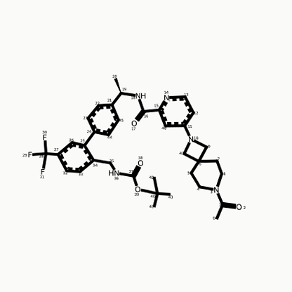 CC(=O)N1CCC2(CC1)CN(c1ccnc(C(=O)N[C@H](C)c3ccc(-c4cc(C(F)(F)F)ccc4CNC(=O)OC(C)(C)C)cc3)c1)C2